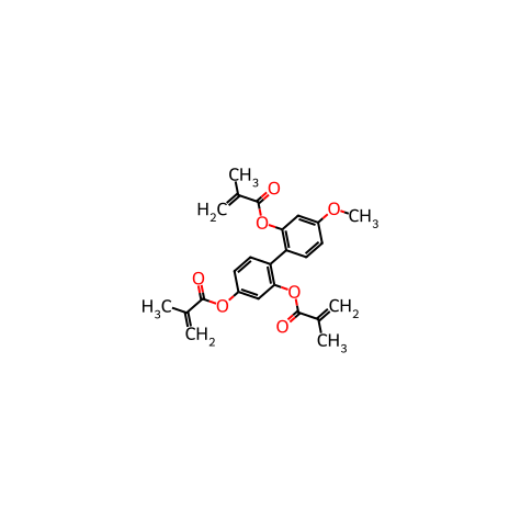 C=C(C)C(=O)Oc1ccc(-c2ccc(OC)cc2OC(=O)C(=C)C)c(OC(=O)C(=C)C)c1